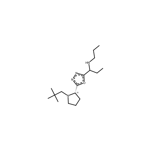 CCCNC(CC)c1nnc([C@@H]2CCCN2CC(C)(C)C)o1